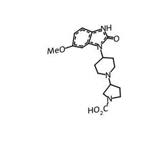 COc1ccc2[nH]c(=O)n(C3CCN(C4CCN(C(=O)O)C4)CC3)c2c1